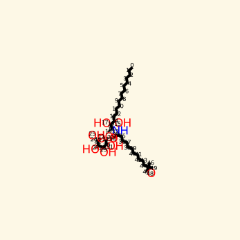 CCCCCCCCCCCCCC[C@@H](O)[C@@H](O)[C@H](CO[C@H]1O[C@@H](CO)[C@H](O)[C@H](O)[C@H]1O)NC(=O)CCCCCCCCCCC1(C)COC1